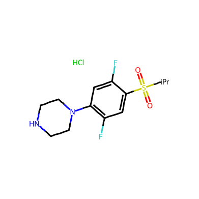 CC(C)S(=O)(=O)c1cc(F)c(N2CCNCC2)cc1F.Cl